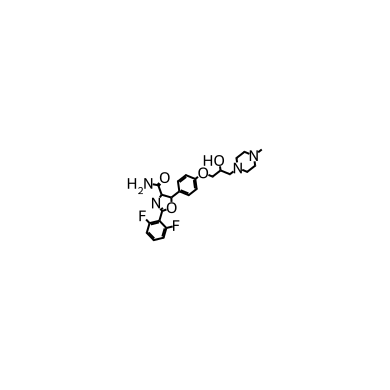 CN1CCN(CC(O)COc2ccc(C3OC(c4c(F)cccc4F)=NC3C(N)=O)cc2)CC1